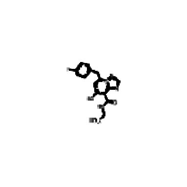 O=C(O)CNC(=O)c1c(O)cc(Cc2ccc(F)cc2)n2ncnc12